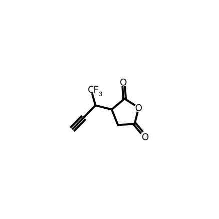 C#CC(C1CC(=O)OC1=O)C(F)(F)F